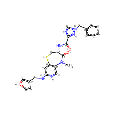 CN1C(=O)[C@@H](NC(=O)c2ncn(Cc3ccccc3)n2)CSc2cc(NCc3ccoc3)ncc21